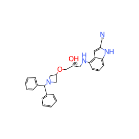 N#Cc1cc2c(NC[C@@H](O)COC3CN(C(c4ccccc4)c4ccccc4)C3)cccc2[nH]1